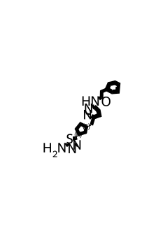 Nc1nnc([C@@H]2CC[C@H](Cc3ccc(NC(=O)Cc4ccccc4)nn3)C2)s1